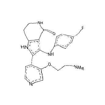 CNCCOc1cnccc1-c1[nH]c2c(c1Nc1ccc(F)cc1)C(=O)NCC2